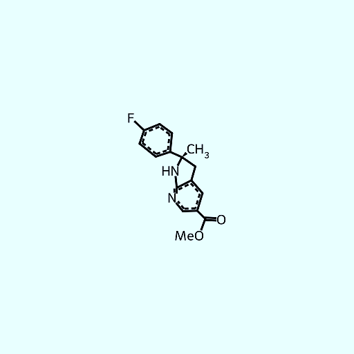 COC(=O)c1cnc2c(c1)C[C@@](C)(c1ccc(F)cc1)N2